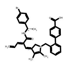 C=C/C=C(\C=C1/CN(Cc2ccccc2-c2ccc(C(=O)O)cc2)C(C)=C1C)C(=O)N[C@@H](C)c1ccc(Br)cc1